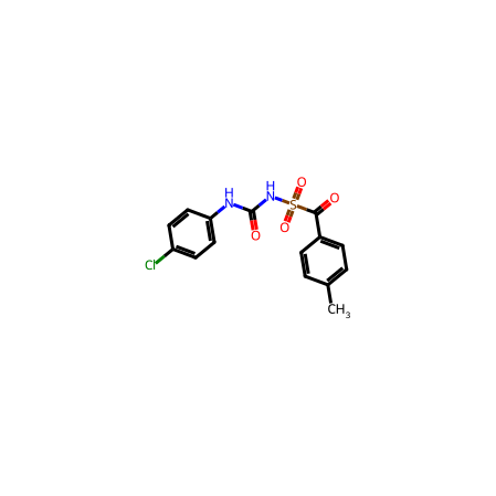 Cc1ccc(C(=O)S(=O)(=O)NC(=O)Nc2ccc(Cl)cc2)cc1